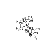 C[C@H](O)c1nnc([C@@]2(C)CC[C@]3(C)CC[C@]4(C)C(C(=O)C=C5[C@@]6(C)C=C(C#N)C(=O)C(C)(C)[C@@H]6CC[C@]54C)[C@@H]3C2)o1